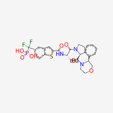 CC(C)(C)[C@H](NC(=O)c1cc2cc(C(F)(F)P(=O)(O)O)ccc2s1)C(=O)N1CCC[C@H]1C(=O)N1CCOC[C@@H]1c1ccccc1